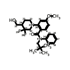 COc1ccc(C(=O)N(CC(C)(C)C)c2ccccn2)c(N2CCC(CO)C(F)(F)C2)c1